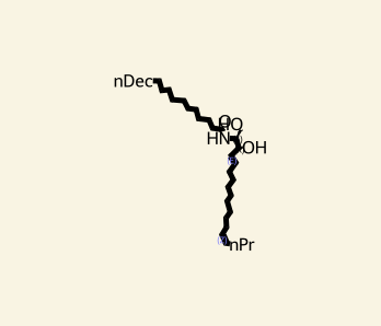 CCC/C=C\CCCCCCCC/C=C/[C@@H](O)[C@H](CO)NC(=O)CCCCCCCCCCCCCCCCCCCC